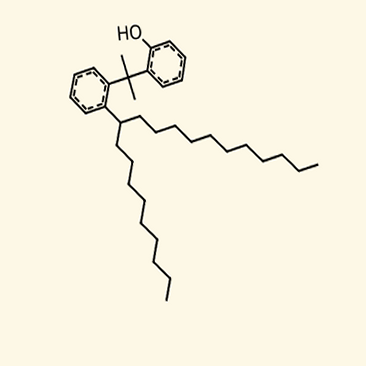 CCCCCCCCCCCC(CCCCCCCCC)c1ccccc1C(C)(C)c1ccccc1O